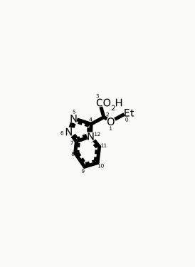 CCOC(C(=O)O)c1nnc2ccccn12